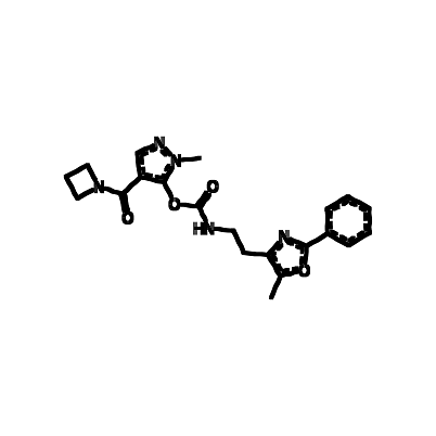 Cc1oc(-c2ccccc2)nc1CCNC(=O)Oc1c(C(=O)N2CCC2)cnn1C